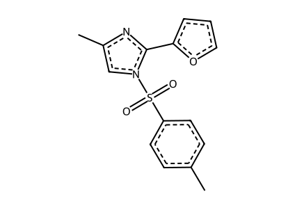 Cc1ccc(S(=O)(=O)n2cc(C)nc2-c2ccco2)cc1